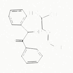 COOCC(C)C.O=C(c1ccccc1)C(O)c1ccccc1